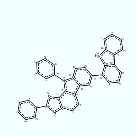 c1ccc(-c2nc3ccc4c5cc(-c6cccc7c6[nH]c6ccccc67)ccc5n(-c5ccccc5)c4c3s2)cc1